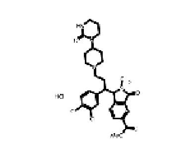 COC(=O)c1ccc2c(c1)C(=O)N(C)C2C(CCN1CCC(N2CCCNC2=O)CC1)c1ccc(Cl)c(Cl)c1.Cl